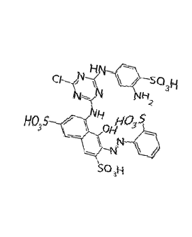 Nc1cc(Nc2nc(Cl)nc(Nc3cc(S(=O)(=O)O)cc4cc(S(=O)(=O)O)c(N=Nc5ccccc5S(=O)(=O)O)c(O)c34)n2)ccc1S(=O)(=O)O